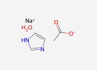 CC(=O)[O-].O.[Na+].c1c[nH]cn1